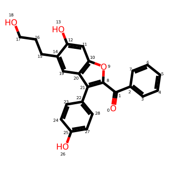 O=C(c1ccccc1)c1oc2cc(O)c(CCCO)cc2c1-c1ccc(O)cc1